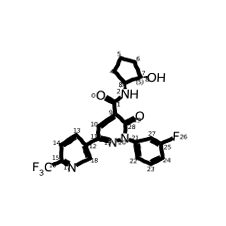 O=C(N[C@H]1CCC[C@@H]1O)c1cc(-c2ccc(C(F)(F)F)nc2)nn(-c2cccc(F)c2)c1=O